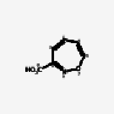 O=C(O)C1=NOC=CC=C1